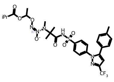 Cc1ccc(-c2cc(C(F)(F)F)nn2-c2ccc(S(=O)(=O)NC(=O)C(C)(C)N(C)/[N+]([O-])=N\OC(C)OC(=O)C(C)C)cc2)cc1